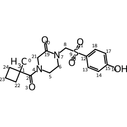 CC1(C(=O)N2CCN(CS(=O)(=O)c3ccc(O)cc3)C(=O)C2)CCC1